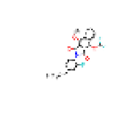 CCCOc1c2c(c(OC(F)F)c3ccccc13)C(=O)N(c1ccc(CC(=O)O)cc1F)C2=O